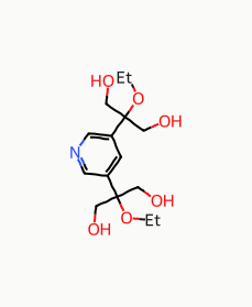 CCOC(CO)(CO)c1cncc(C(CO)(CO)OCC)c1